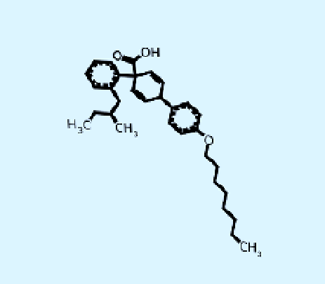 CCCCCCCCOc1ccc(C2C=CC(C(=O)O)(c3ccccc3CC(C)CC)C=C2)cc1